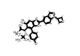 CC(=O)[C@@H](OC(C)(C)C)c1c(C)cc2nc(-c3ccc4c(cnn4C4COC4)c3)sc2c1-c1ccc(Cl)cc1